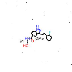 COc1c(C(=O)N[C@H](CO)C(C)C)ccc2[nH]nc(/C=C/c3ccccc3F)c12